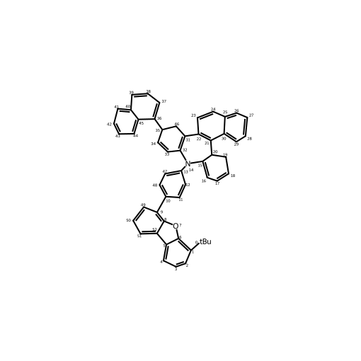 CC(C)(C)c1cccc2c1oc1c(-c3ccc(N4C5=CC=CCC5c5c(ccc6ccccc56)C5=C4C=CC(c4cccc6ccccc46)C5)cc3)cccc12